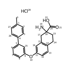 Cc1ccc(-c2cccc(Oc3ccc4c(c3)CC(N)(C(=O)O)CC4)c2)cc1.Cl